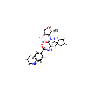 CC[C@@H]1OCC(=O)[C@H]1NC(=O)[C@H](CC1(C)CCCC1)NC(=O)c1ccc2c(c1)CCCN2